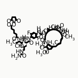 COc1cc2cc(c1Cl)N(C)C(=O)C[C@H](OC(=O)Nc1cc(F)c(NC(=O)[C@H](CCCNC(N)=O)NC(=O)[C@@H](NC(=O)CCCCC(=O)ON3C(=O)CCC3=O)C(C)C)cc1F)[C@]1(C)C[C@H]1[C@H](C)[C@@H]1C[C@@](O)(NC(=O)O1)[C@H](OC)/C=C/C=C(\C)C2